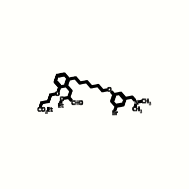 CCOC(=O)CCCOc1cccc(CCCCCCOc2cc(Br)cc(CN(C)C)c2)c1CC(C=O)OCC